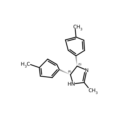 CC1=N[C@@H](c2ccc(C)cc2)[C@@H](c2ccc(C)cc2)N1